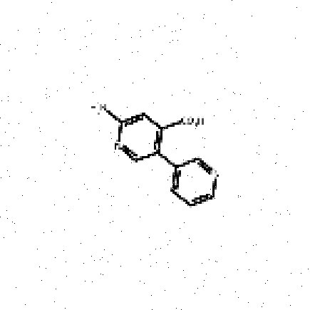 Nc1cc(C(=O)O)c(-c2cccnc2)cn1